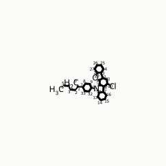 C=C(/C=C\C=C/C)c1ccc(-n2c3ccccc3c3c(Cl)cc4c5ccccc5oc4c32)cc1